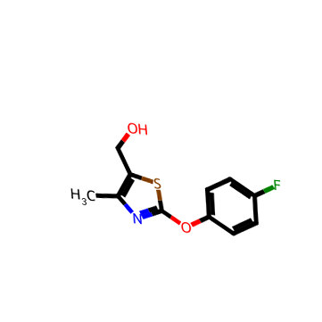 Cc1nc(Oc2ccc(F)cc2)sc1CO